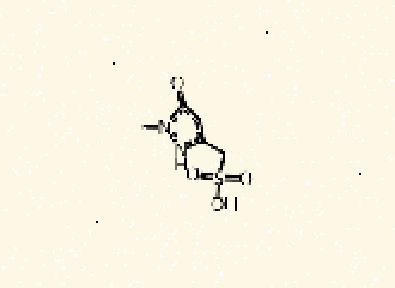 Cn1[nH]c(CS(=O)(=O)O)cc1=O